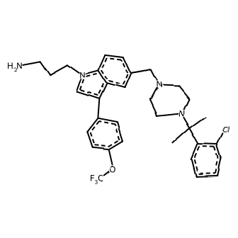 CC(C)(c1ccccc1Cl)N1CCN(Cc2ccc3c(c2)c(-c2ccc(OC(F)(F)F)cc2)cn3CCCN)CC1